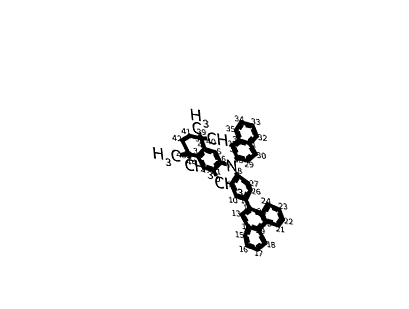 Cc1cc2c(cc1N(c1ccc(-c3cc4ccccc4c4ccccc34)cc1)c1ccc3ccccc3c1)C(C)(C)CCC2(C)C